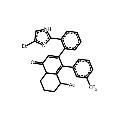 CCc1c[nH]c(-c2ccccc2C2=[C]C(=O)C3CCCC(C(C)=O)C3=C2c2cccc(C(F)(F)F)c2)n1